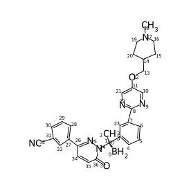 B[C@@](C)(c1cccc(-c2ncc(OCC3CCN(C)CC3)cn2)c1)n1nc(-c2cccc(C#N)c2)ccc1=O